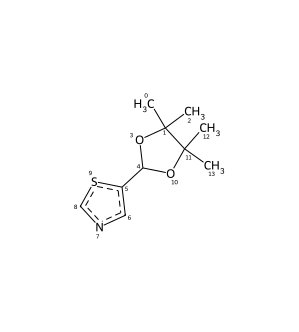 CC1(C)OC(c2cncs2)OC1(C)C